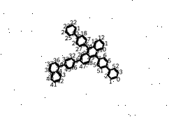 c1ccc(-c2ccc(-c3c4ccccc4c(-c4ccc(-c5ccccc5)cc4)c4cc(-c5ccc(-c6cccc7ccccc67)cc5)ccc34)cc2)cc1